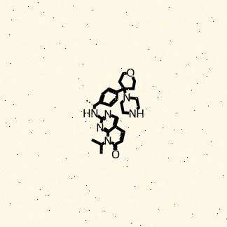 CC(C)n1c(=O)ccc2cnc(N[C@H](C)c3ccc(C4(N5CCNCC5)CCOCC4)cc3)nc21